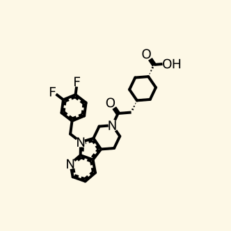 O=C(C[C@H]1CC[C@@H](C(=O)O)CC1)N1CCc2c(n(Cc3ccc(F)c(F)c3)c3ncccc23)C1